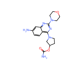 NC(=O)OC1CCN(c2nc(N3CCOCC3)nc3cc(N)ccc23)C1